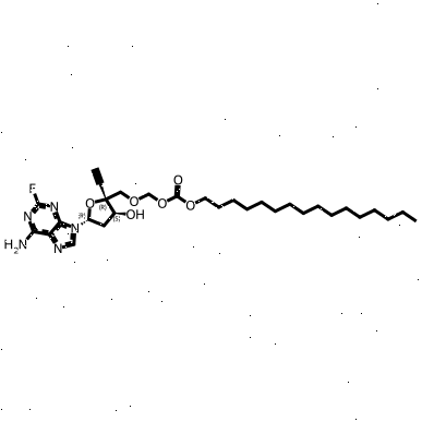 C#C[C@]1(COCOC(=O)OCCCCCCCCCCCCCCCC)O[C@@H](n2cnc3c(N)nc(F)nc32)C[C@@H]1O